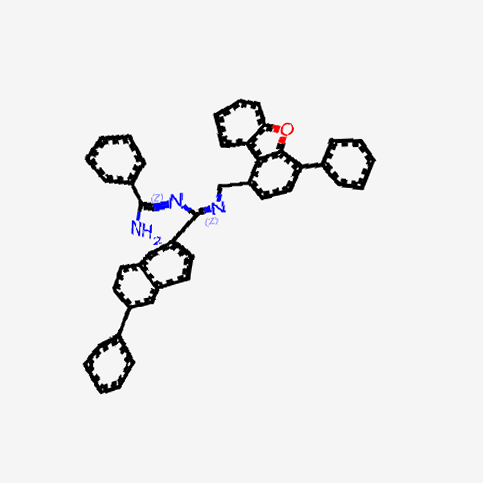 N/C(=N\C(=N/Cc1ccc(-c2ccccc2)c2oc3ccccc3c12)c1ccc2cc(-c3ccccc3)ccc2c1)c1ccccc1